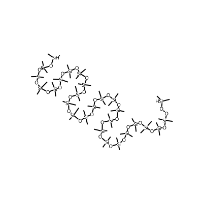 C[SiH](C)OO[Si](C)(C)O[Si](C)(C)O[Si](C)(C)O[Si](C)(C)O[Si](C)(C)O[Si](C)(C)O[Si](C)(C)O[Si](C)(C)O[Si](C)(C)O[Si](C)(C)O[Si](C)(C)O[Si](C)(C)O[Si](C)(C)O[Si](C)(C)O[Si](C)(C)O[Si](C)(C)O[Si](C)(C)O[Si](C)(C)O[Si](C)(C)O[Si](C)(C)O[Si](C)(C)O[Si](C)(C)O[Si](C)(C)O[Si](C)(C)O[Si](C)(C)O[SiH](C)C